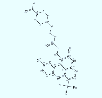 CC(=O)N1CCN(CCCC(=O)CSc2c(-c3cc(Cl)ccc3O)c3cc(C(F)(F)F)ccc3[nH]c2=O)CC1